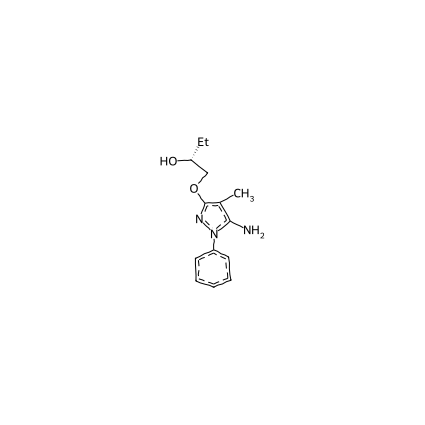 CC[C@@H](O)COc1nn(-c2ccccc2)c(N)c1C